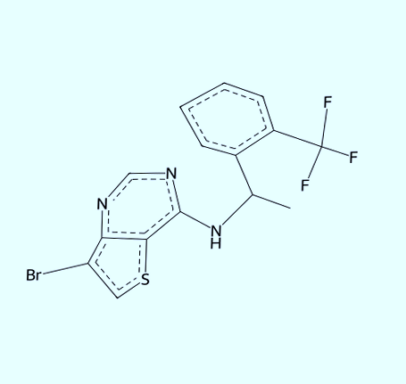 CC(Nc1ncnc2c(Br)csc12)c1ccccc1C(F)(F)F